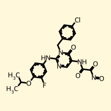 CC(C)Oc1ccc(Nc2ncc(NC(=O)C(=O)N=O)c(=O)n2Cc2ccc(Cl)cc2)cc1F